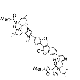 COC(=O)NC(C=C(C)C)C(=O)N1C[C@H](F)C[C@H]1c1ncc(-c2ccc3c(c2)OCc2c-3c(=O)oc3cc(-c4cnc(CN(C[C@@H](C)F)C(=O)[C@@H](NC(=O)OC)C(C)C)[nH]4)ccc23)[nH]1